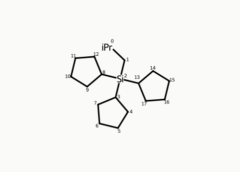 CC(C)C[Si](C1CCCC1)(C1CCCC1)C1CCCC1